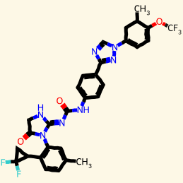 Cc1ccc(C2CC2(F)F)c(N2C(=O)CN/C2=N\C(=O)Nc2ccc(-c3ncn(C4=CC=C(OC(F)(F)F)C(C)C4)n3)cc2)c1